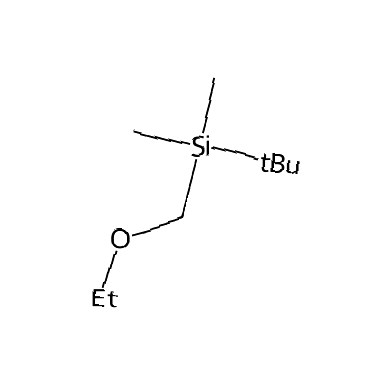 CCOC[Si](C)(C)C(C)(C)C